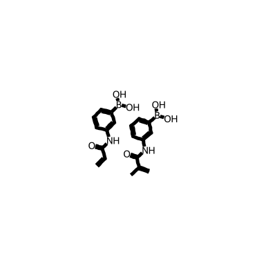 C=C(C)C(=O)Nc1cccc(B(O)O)c1.C=CC(=O)Nc1cccc(B(O)O)c1